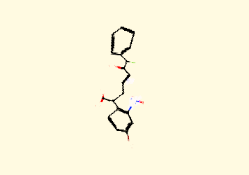 O=C(/C=C/CC(C(=O)O)c1ccc(Br)cc1[N+](=O)[O-])C(F)c1ccccc1